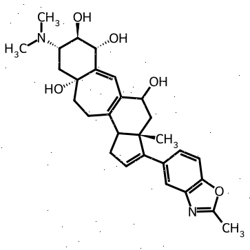 Cc1nc2cc(C3=CCC4C5=C(C=C6[C@@H](O)[C@H](O)[C@@H](N(C)C)C[C@]6(O)CC5)C(O)C[C@]34C)ccc2o1